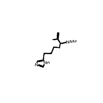 C=C(C)C(CCCCc1cnc[nH]1)NC